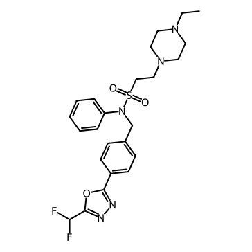 CCN1CCN(CCS(=O)(=O)N(Cc2ccc(-c3nnc(C(F)F)o3)cc2)c2ccccc2)CC1